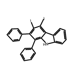 Ic1c(-c2ccccc2)c(-c2ccccc2)c2[nH]c3ccccc3c2c1I